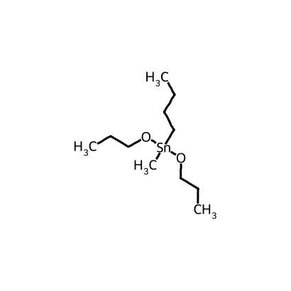 CCC[CH2][Sn]([CH3])([O]CCC)[O]CCC